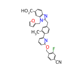 Cc1cc(Cc2nc3ccc(C(=O)O)cc3n2Cc2ccco2)ccc1-c1cccc(OCc2ccc(C#N)cc2F)n1